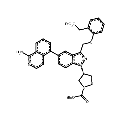 CCOC(=O)Cc1ccccc1OCc1nn([C@H]2CCN(C(=O)OCC(C)C)C2)c2ccc(-c3cccc4c(N)nccc34)cc12